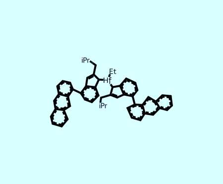 C[CH2][Hf]([CH]1C(CC(C)C)=Cc2c(-c3cccc4cc5ccccc5cc34)cccc21)[CH]1C(CC(C)C)=Cc2c(-c3cccc4cc5ccccc5cc34)cccc21